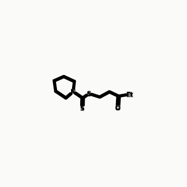 CCC(=O)CCSC(=S)N1CCCCC1